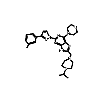 Cc1cccc(-c2ccn(-c3nc(N4CCOCC4)c4nc(CN5CCN(C(C)C)CC5)[nH]c4n3)n2)c1